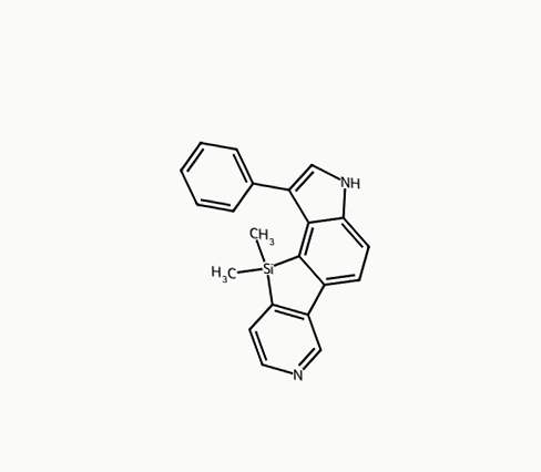 C[Si]1(C)c2ccncc2-c2ccc3[nH]cc(-c4ccccc4)c3c21